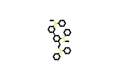 C=C[SH](c1ccccc1)c1cccc(-c2ccc(/C=C/[SH](c3ccccc3)c3ccccc3)c([SH](C=C)c3ccccc3)c2)c1